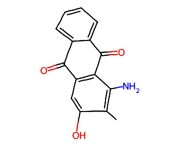 Cc1c(O)cc2c(c1N)C(=O)c1ccccc1C2=O